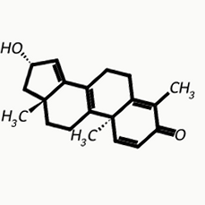 CC1=C2CCC3=C(CC[C@]4(C)C[C@H](O)C=C34)[C@]2(C)C=CC1=O